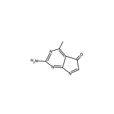 Cc1nc(N)nc2c1C(=O)C=N2